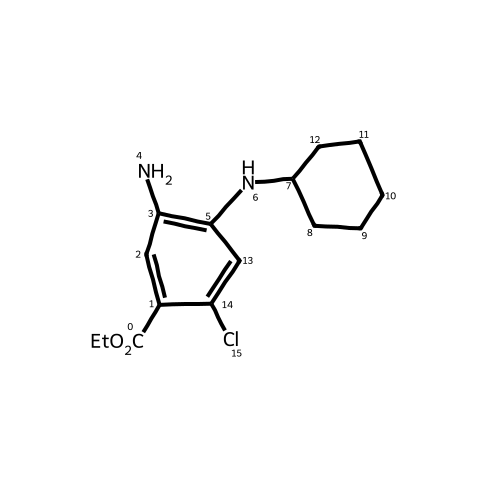 CCOC(=O)c1cc(N)c(NC2CCCCC2)cc1Cl